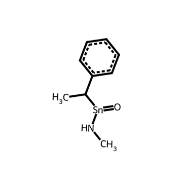 C[NH][Sn](=[O])[CH](C)c1ccccc1